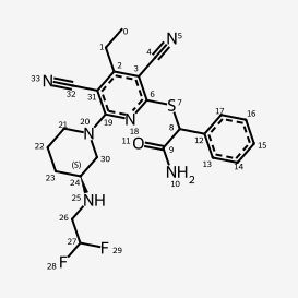 CCc1c(C#N)c(SC(C(N)=O)c2ccccc2)nc(N2CCC[C@H](NCC(F)F)C2)c1C#N